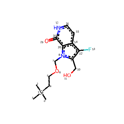 C[Si](C)(C)CCOCn1c(CO)c(F)c2cc[nH]c(=O)c21